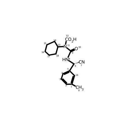 Cc1cccc([C@@H](C#N)NC(=O)N(C(=O)O)C2CCCCC2)c1